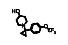 OC1CCN(C2(c3ccc(OC(F)(F)F)cc3)CC2)CC1